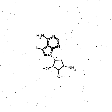 Nc1ncnc2c1c(I)cn2[C@@H]1C[C@H](N)[C@@H](O)[C@H]1O